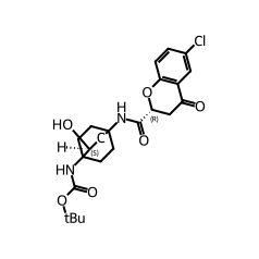 CC(C)(C)OC(=O)NC12CCC(NC(=O)[C@H]3CC(=O)c4cc(Cl)ccc4O3)(CC1)C[C@@H]2O